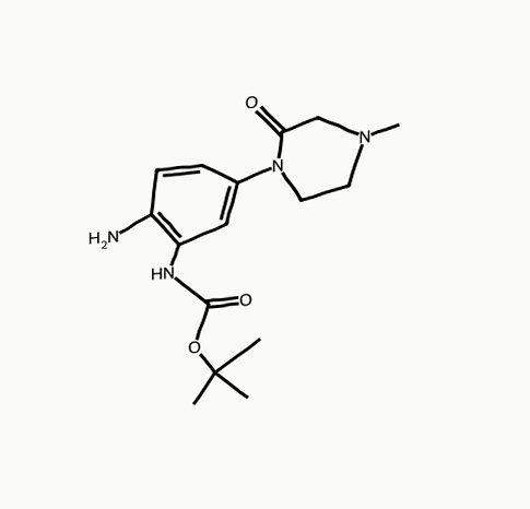 CN1CCN(c2ccc(N)c(NC(=O)OC(C)(C)C)c2)C(=O)C1